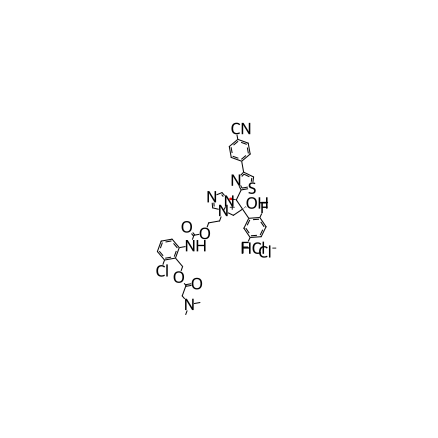 C[C@@H](c1nc(-c2ccc(C#N)cc2)cs1)[C@](O)(C[N+]1(CCOC(=O)Nc2cccc(Cl)c2COC(=O)CN(C)C)C=NC=N1)c1cc(F)ccc1F.Cl.[Cl-]